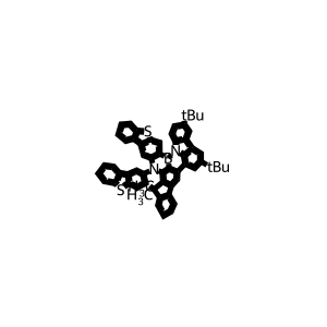 CC(C)(C)c1ccc2c(c1)c1cc(C(C)(C)C)cc3c1n2B1c2cc4sc5ccccc5c4cc2N(c2ccc4sc5ccccc5c4c2)c2c1c-3cc1c2C(C)(C)c2ccccc2-1